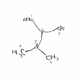 CCCC(C(C)CC)N(C)C